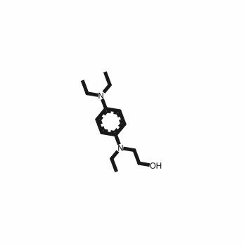 CCN(CC)c1ccc(N(CC)CCO)cc1